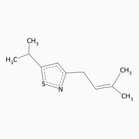 CC(C)=CCc1cc(C(C)C)sn1